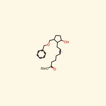 COC(=O)CCC/C=C\CC1C(O)CCC1COCc1ccccc1